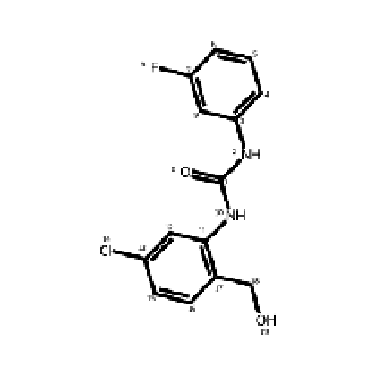 O=C(Nc1cccc(F)c1)Nc1cc(Cl)ccc1CO